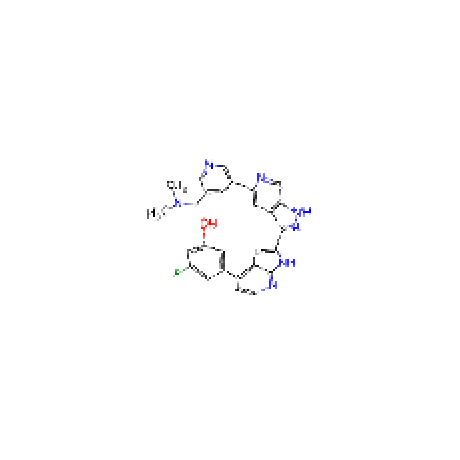 CN(C)Cc1cncc(-c2cc3c(-c4cc5c(-c6cc(O)cc(F)c6)ccnc5[nH]4)n[nH]c3cn2)c1